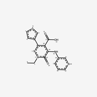 CCn1nc(-c2ccsc2)c(C(=O)O)c(Nc2cccnc2)c1=O